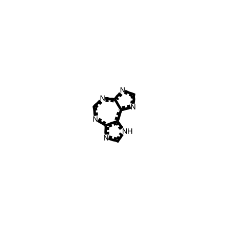 c1nc2ncnc3nc[nH]c3c-2n1